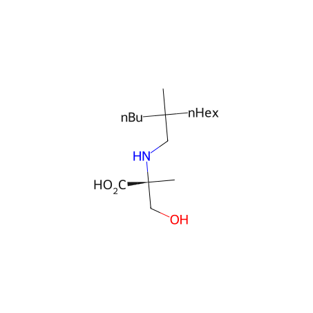 CCCCCCC(C)(CCCC)CN[C@](C)(CO)C(=O)O